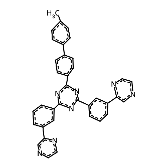 Cc1ccc(-c2ccc(-c3nc(-c4cccc(-c5cnccn5)c4)nc(-c4cccc(-c5cnccn5)c4)n3)cc2)cc1